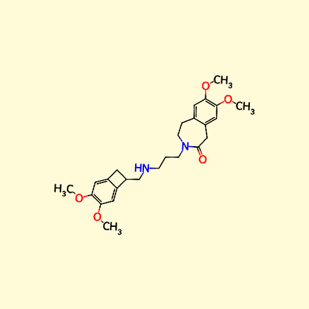 COc1cc2c(cc1OC)CC(=O)N(CCCNCC1Cc3cc(OC)c(OC)cc31)CC2